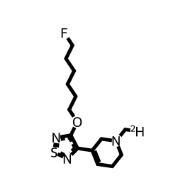 [2H]CN1CCC=C(c2nsnc2OCCCCCCF)C1